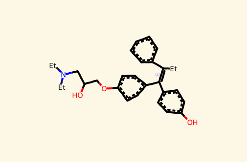 CC/C(=C(\c1ccc(O)cc1)c1ccc(OCC(O)CN(CC)CC)cc1)c1ccccc1